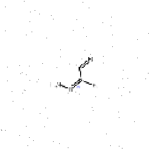 CC/C(C=N)=N/N